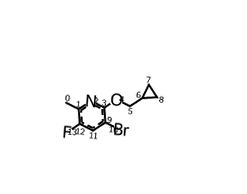 Cc1nc(OCC2CC2)c(Br)cc1F